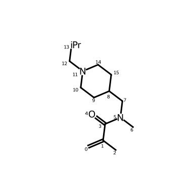 C=C(C)C(=O)N(C)CC1CCN(CC(C)C)CC1